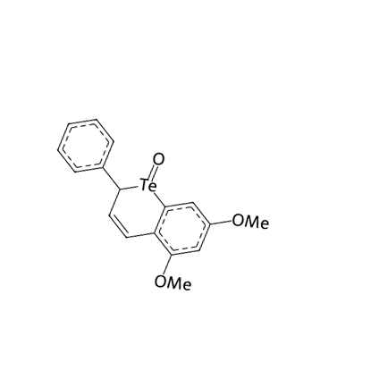 COc1cc(OC)c2c(c1)[Te](=O)C(c1ccccc1)C=C2